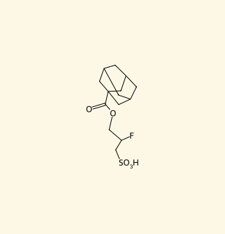 O=C(OCC(F)CS(=O)(=O)O)C12CC3CC(CC(C3)C1)C2